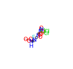 COCCOC(=O)N[C@@H]1CCN(c2ccc(N3C[C@H](CN(C(=O)OCC(Cl)(Cl)Cl)c4ccon4)OC3=O)cc2F)C1